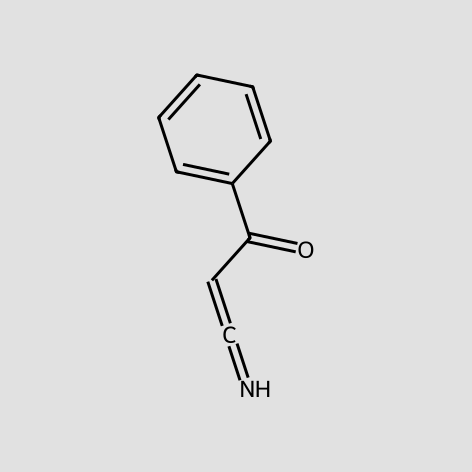 N=C=CC(=O)c1ccccc1